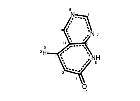 [2H]c1cc(=O)[nH]c2ncncc12